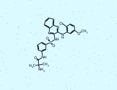 COc1ccc(Cl)c(Nc2nc3ccccc3nc2NS(=O)(=O)c2cccc(NC(=O)C(C)(C)N)c2)c1